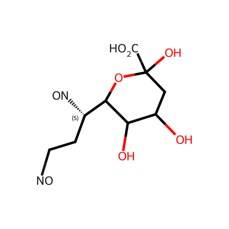 O=NCC[C@H](N=O)C1OC(O)(C(=O)O)CC(O)C1O